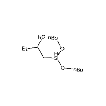 CCCCO[SiH](CC(O)CC)OCCCC